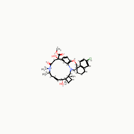 COC(=O)[C@@]1(O)CC(=O)N(C)[C@H](C)CC=C[C@H](O)[C@@H]2CC[C@H]2CN2C[C@@]3(CCCc4cc(Cl)ccc43)COc3ccc1cc32